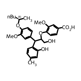 CCCC[C@@H](C)Oc1ccc(C(c2ccc(C)cc2O)C(CO)Oc2ccc(C(=O)O)cc2OC)cc1OC